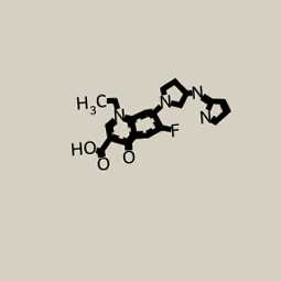 CCn1cc(C(=O)O)c(=O)c2cc(F)c(N3CCC(N=C4C=CC=N4)C3)cc21